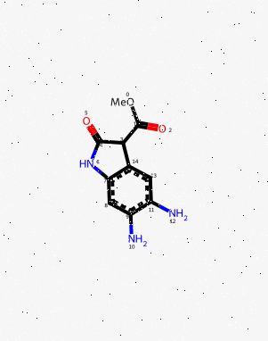 COC(=O)C1C(=O)Nc2cc(N)c(N)cc21